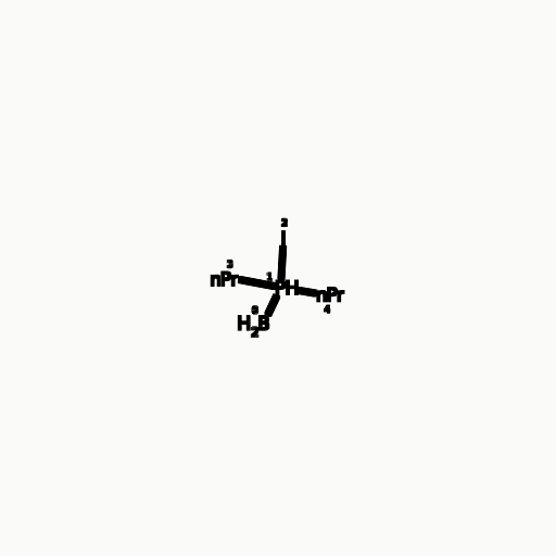 B[PH](I)(CCC)CCC